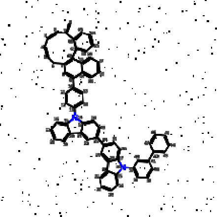 C=C1/C=C\C=C/Cc2cc(-c3ccc(-n4c5ccccc5c5cc(-c6ccc7c(c6)c6ccccc6n7-c6cccc(-c7ccccc7)c6)ccc54)cc3)c3ccccc3c2-c2ccccc21